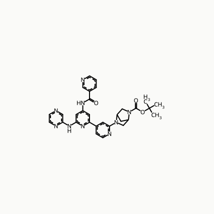 CC(C)(C)OC(=O)N1CC2CC1CN2c1cc(-c2cc(NC(=O)c3cccnc3)cc(Nc3cnccn3)n2)ccn1